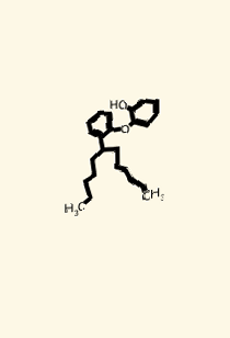 CCCCCCC(CCCCC)c1ccccc1Oc1ccccc1O